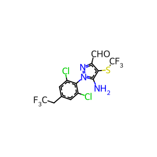 Nc1c(SC(F)(F)F)c(C=O)nn1-c1c(Cl)cc(CC(F)(F)F)cc1Cl